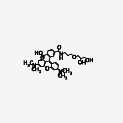 CN(C)c1ccc2c(-c3cc(C(=O)NCCCOCC(O)CO)ccc3C(=O)O)c3ccc(=[N+](C)C)cc-3oc2c1